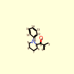 C=C(C)C(=O)C1CCCCN1c1ccccc1